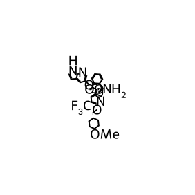 CO[C@H]1CC[C@H](COc2ncc(S(=O)(=O)C3(Oc4cnc5[nH]ccc5c4)C=CC=CC3C(N)=O)cc2C(F)(F)F)CC1